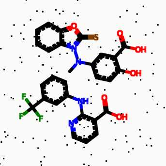 CN(c1ccc(O)c(C(=O)O)c1)n1c(=S)oc2ccccc21.O=C(O)c1cccnc1Nc1cccc(C(F)(F)F)c1